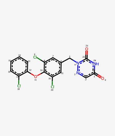 O=c1cnn(Cc2cc(Cl)c(Oc3ccccc3Cl)c(Cl)c2)c(=O)[nH]1